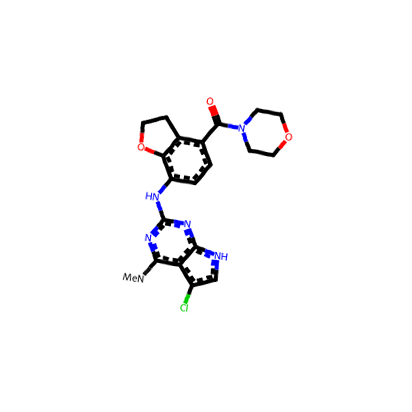 CNc1nc(Nc2ccc(C(=O)N3CCOCC3)c3c2OCC3)nc2[nH]cc(Cl)c12